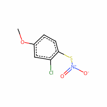 COc1ccc(S[N+](=O)[O-])c(Cl)c1